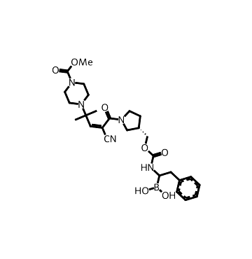 COC(=O)N1CCN(C(C)(C)C=C(C#N)C(=O)N2CC[C@H](COC(=O)NC(Cc3ccccc3)B(O)O)C2)CC1